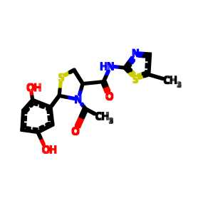 CC(=O)N1C(C(=O)Nc2ncc(C)s2)CSC1c1cc(O)ccc1O